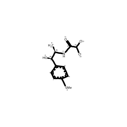 CSc1ccc([C@@H](O)[C@@H](C)NC(=O)C(Cl)Cl)cc1